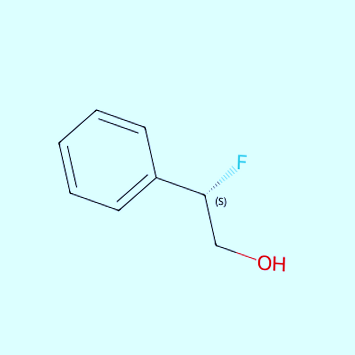 OC[C@@H](F)c1ccccc1